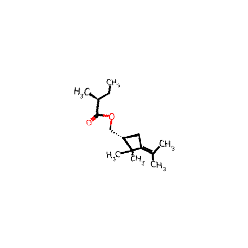 CC[C@H](C)C(=O)OC[C@@H]1CC(=C(C)C)C1(C)C